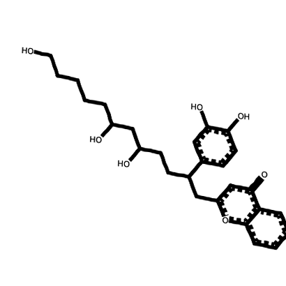 O=c1cc(CC(CCC(O)CC(O)CCCCCO)c2ccc(O)c(O)c2)oc2ccccc12